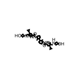 Cc1c(NC(=O)c2cc(C3CC3)c(CNC3CC(O)C3)cn2)cccc1-c1cccc(NC(=O)c2cc(C3CC3)c(CNC3CC(O)C3)cn2)c1C